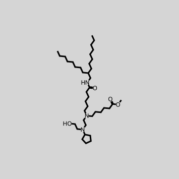 CCCCCCCCC(CCCCCCCC)CNC(=O)CCCCCN(CCCCCC(=O)OC)CCN(CCO)C1CCCC1